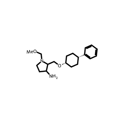 COCN1CCC(N)C1CO[C@H]1CC[C@@H](c2ccccc2)CC1